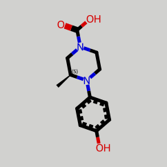 C[C@H]1CN(C(=O)O)CCN1c1ccc(O)cc1